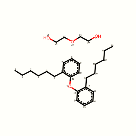 CCCCCCc1ccccc1Oc1ccccc1CCCCCC.OCCOCCO